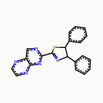 c1ccc(C2N=C(c3ncc4nccnc4n3)SC2c2ccccc2)cc1